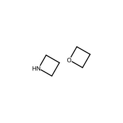 C1CNC1.C1COC1